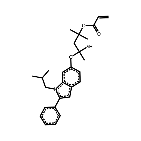 C=CC(=O)OC(C)(C)CC(C)(S)Oc1ccc2cc(-c3ccccc3)n(CC(C)C)c2c1